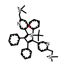 CC(C)(C)[Si]1(c2ccccc2)C(c2ccc(C[Si](C)(C)C)nc2)=C(c2ccccc2)C(c2ccccc2)=C1c1ccc(C[Si](C)(C)C)nc1